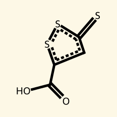 O=C(O)c1cc(=S)ss1